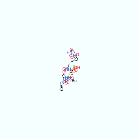 CC(C)(C)C(NC(=O)c1cc2cc(C(F)(F)P(=O)(O)O)ccc2s1)C(=O)N1Cc2cc(OCC(=O)NCCCCCC#Cc3cccc4c3C(=O)N(C3CCC(=O)NC3=O)C4=O)ccc2C[C@H]1C(=O)N1CCC[C@H](c2ccccc2)C1